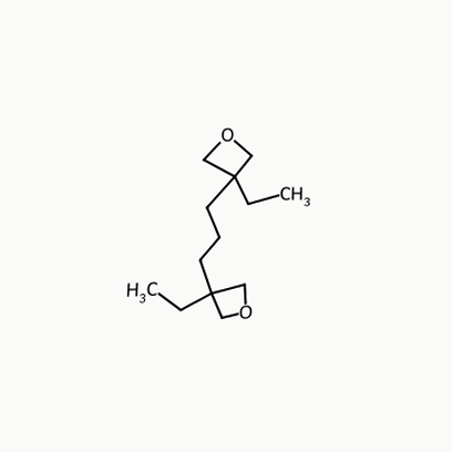 CCC1(CCCC2(CC)COC2)COC1